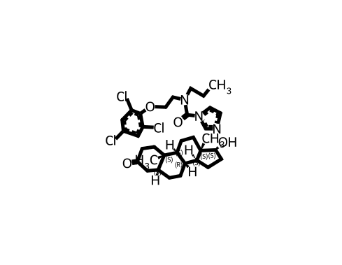 CCCN(CCOc1c(Cl)cc(Cl)cc1Cl)C(=O)n1ccnc1.C[C@]12CCC(=O)C[C@@H]1CC[C@@H]1[C@@H]2CC[C@]2(C)[C@@H](O)CC[C@@H]12